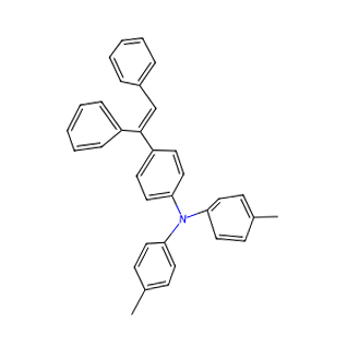 Cc1ccc(N(c2ccc(C)cc2)c2ccc(/C(=C/c3ccccc3)c3ccccc3)cc2)cc1